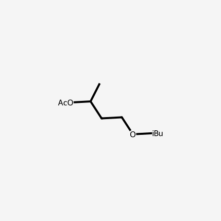 CCC(C)OCCC(C)OC(C)=O